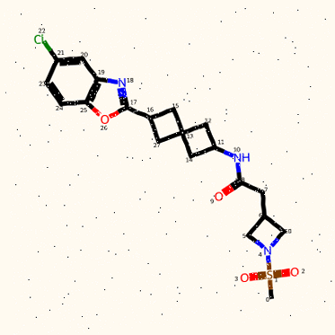 CS(=O)(=O)N1CC(CC(=O)NC2CC3(C2)CC(c2nc4cc(Cl)ccc4o2)C3)C1